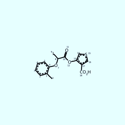 Cc1ccccc1OC(I)C(=O)Oc1cscc1C(=O)O